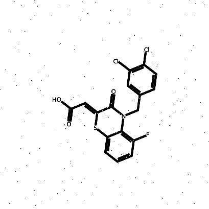 O=C(O)/C=C1\Sc2cccc(F)c2N(Cc2ccc(Cl)c(Cl)c2)C1=O